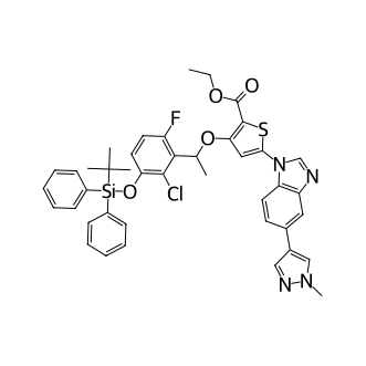 CCOC(=O)c1sc(-n2cnc3cc(-c4cnn(C)c4)ccc32)cc1OC(C)c1c(F)ccc(O[Si](c2ccccc2)(c2ccccc2)C(C)(C)C)c1Cl